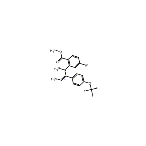 COC(=O)c1ccc(Br)cc1N(N)/C(=C\N)c1ccc(OC(F)(F)F)cc1